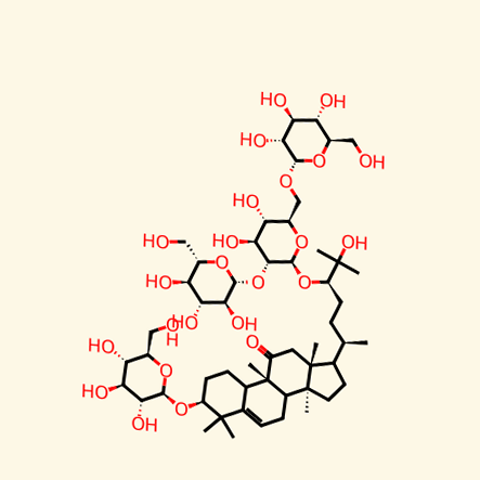 C[C@H](CC[C@@H](O[C@@H]1O[C@H](CO[C@H]2O[C@H](CO)[C@@H](O)[C@H](O)[C@H]2O)[C@@H](O)[C@H](O)[C@H]1O[C@H]1O[C@@H](CO)[C@H](O)[C@@H](O)[C@@H]1O)C(C)(C)O)C1CC[C@@]2(C)C3CC=C4C(CC[C@H](O[C@@H]5O[C@H](CO)[C@@H](O)[C@H](O)[C@H]5O)C4(C)C)[C@]3(C)C(=O)C[C@]12C